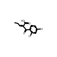 CCC=C(C(=O)O)C(=O)c1ccc(Cl)cc1Cl